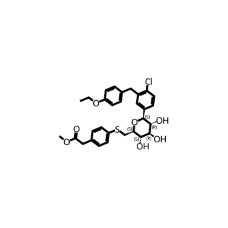 CCOc1ccc(Cc2cc([C@@H]3O[C@H](CSc4ccc(CC(=O)OC)cc4)[C@@H](O)[C@H](O)[C@H]3O)ccc2Cl)cc1